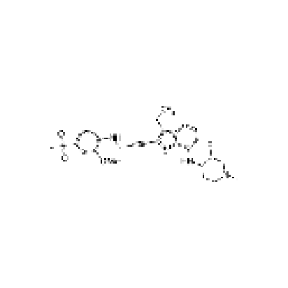 COc1cc(S(C)(=O)=O)ccc1NCC#Cc1sc2c(NC3CCN(C)CC3F)cccc2c1CC(F)(F)F